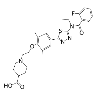 CCN(C(=O)c1ccccc1F)c1nnc(-c2cc(C)c(OCCN3CCC(C(=O)O)CC3)c(C)c2)s1